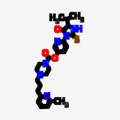 Cc1cccc(CCCN2CCN(C(=O)Oc3ccc(N4C(=O)C(C(C)C)NC4=S)nc3)CC2)n1